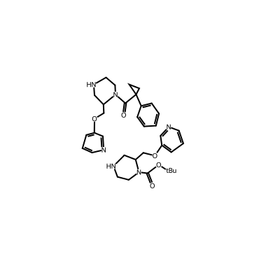 CC(C)(C)OC(=O)N1CCNCC1COc1cccnc1.O=C(N1CCNCC1COc1cccnc1)C1(c2ccccc2)CC1